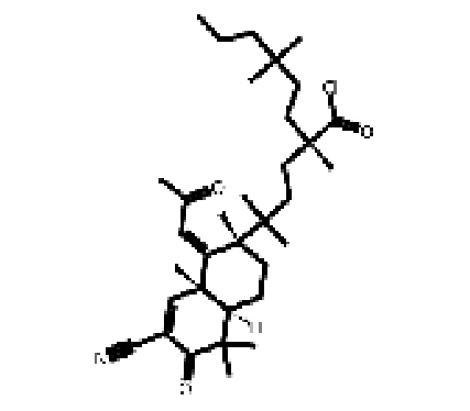 CCCC(C)(C)CC[C@@](C)(CCC(C)(C)[C@]1(C)CC[C@H]2C(C)(C)C(=O)C(C#N)=C[C@]2(C)/C1=C/C(C)=O)C(=O)Cl